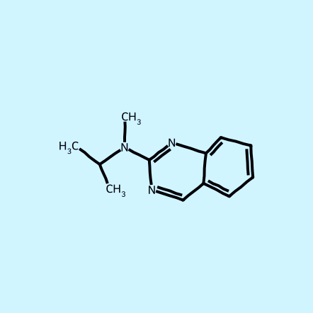 CC(C)N(C)c1ncc2ccccc2n1